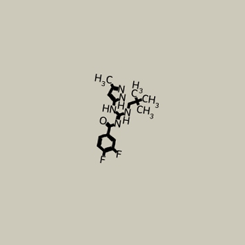 Cc1cc(N/C(=N\C(=O)c2ccc(F)c(F)c2)NCC(C)(C)C)[nH]n1